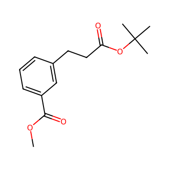 COC(=O)c1cccc(CCC(=O)OC(C)(C)C)c1